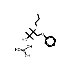 CCCOC(C)(COc1ccccc1)C(C)(C)O.OB(O)O